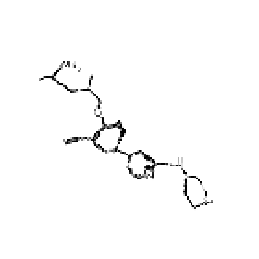 CC(N)CC(C)COc1ccc(-c2ccnc(NC3CCNCC3)c2)cc1C#N